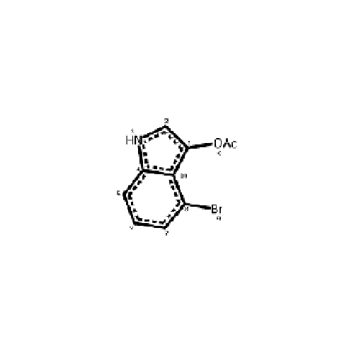 CC(=O)Oc1c[nH]c2cccc(Br)c12